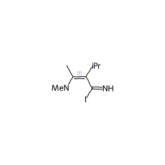 CN/C(C)=C(\C(=N)I)C(C)C